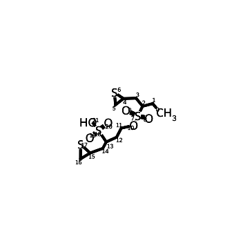 CCC(CC1CS1)S(=O)(=O)OCCC(CC1CS1)S(=O)(=O)O